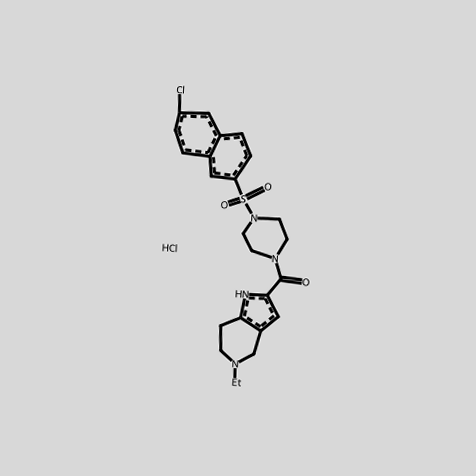 CCN1CCc2[nH]c(C(=O)N3CCN(S(=O)(=O)c4ccc5cc(Cl)ccc5c4)CC3)cc2C1.Cl